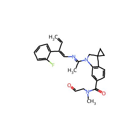 C=C/C(=C\N=C(/C)N1CC2(CC2)c2ccc(C(=O)N(C)CC=O)cc21)c1ccccc1F